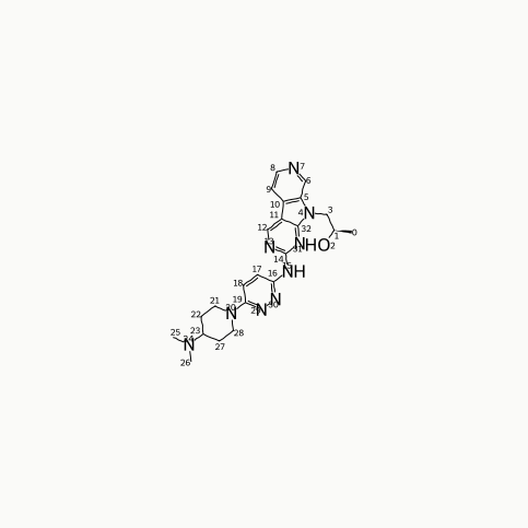 C[C@@H](O)Cn1c2cnccc2c2cnc(Nc3ccc(N4CCC(N(C)C)CC4)nn3)nc21